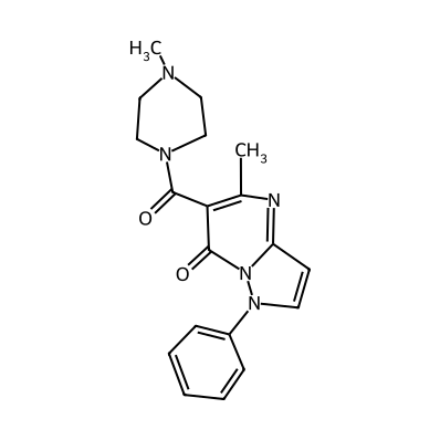 Cc1nc2ccn(-c3ccccc3)n2c(=O)c1C(=O)N1CCN(C)CC1